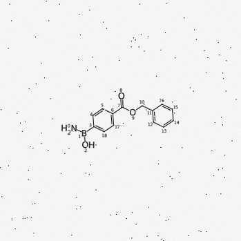 NB(O)c1ccc(C(=O)OCc2ccccc2)cc1